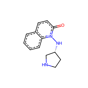 O=c1ccc2ccccc2n1N[C@@H]1CCNC1